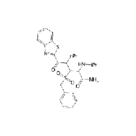 CCCC(C(=O)c1nc2ccccc2s1)C(C(NC(C)C)C(N)=O)S(=O)(=O)Cc1ccccc1